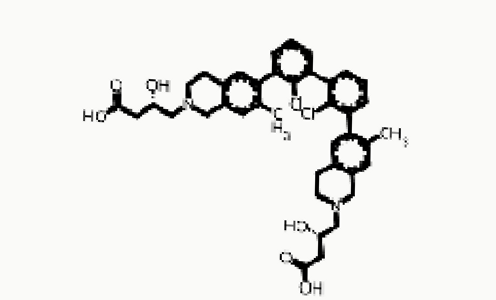 Cc1cc2c(cc1-c1cccc(-c3cccc(-c4cc5c(cc4C)CN(C[C@@H](O)CC(=O)O)CC5)c3Cl)c1Cl)CCN(C[C@@H](O)CC(=O)O)C2